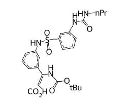 CCCNC(=O)Nc1cccc(S(=O)(=O)Nc2cccc(/C(=C/C(=O)O)NC(=O)OC(C)(C)C)c2)c1